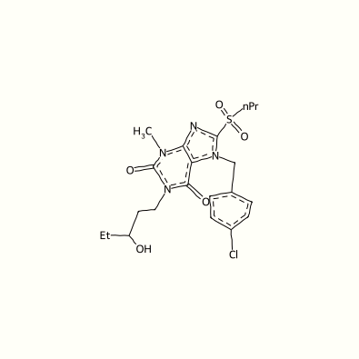 CCCS(=O)(=O)c1nc2c(c(=O)n(CCC(O)CC)c(=O)n2C)n1Cc1ccc(Cl)cc1